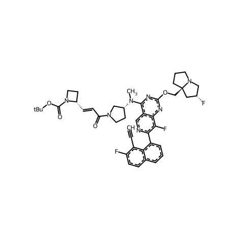 C#Cc1c(F)ccc2cccc(-c3ncc4c(N(C)[C@@H]5CCN(C(=O)/C=C/[C@H]6CCN6C(=O)OC(C)(C)C)C5)nc(OC[C@@]56CCCN5C[C@H](F)C6)nc4c3F)c12